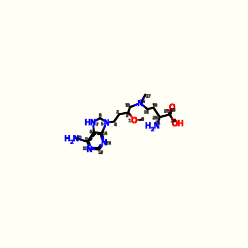 COC(CCN1CNc2c(N)ncnc21)CN(C)CCC(N)C(=O)O